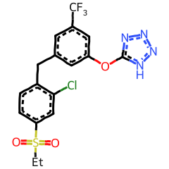 CCS(=O)(=O)c1ccc(Cc2cc(Oc3nnn[nH]3)cc(C(F)(F)F)c2)c(Cl)c1